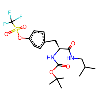 CC(C)CNC(=O)[C@H](Cc1ccc(OS(=O)(=O)C(F)(F)F)cc1)NC(=O)OC(C)(C)C